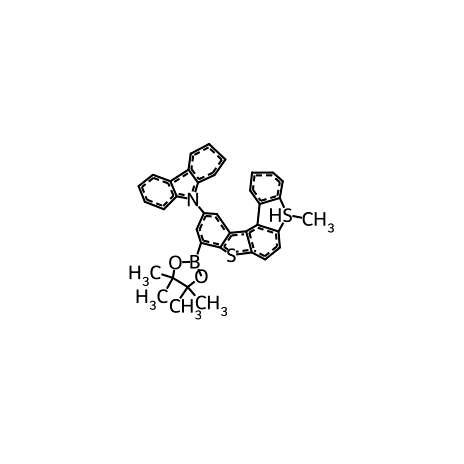 C[SH]1c2ccccc2-c2c1ccc1sc3c(B4OC(C)(C)C(C)(C)O4)cc(-n4c5ccccc5c5ccccc54)cc3c21